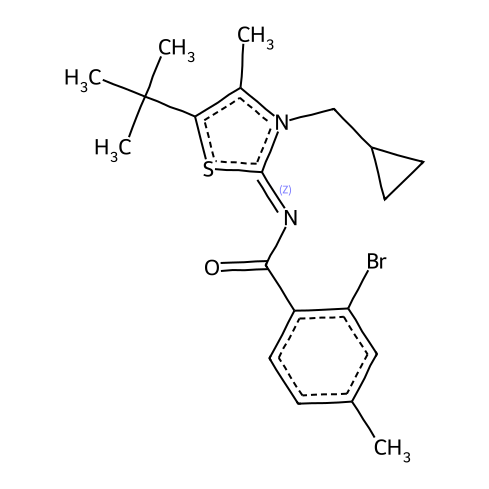 Cc1ccc(C(=O)/N=c2\sc(C(C)(C)C)c(C)n2CC2CC2)c(Br)c1